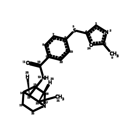 Cc1ncc(Sc2ccc(C(=O)N[C@@H]3C4CCN(CC4)[C@H]3C)cc2)o1